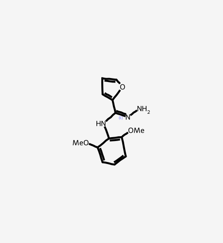 COc1cccc(OC)c1N/C(=N/N)c1ccco1